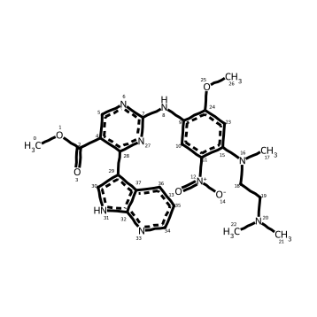 COC(=O)c1cnc(Nc2cc([N+](=O)[O-])c(N(C)CCN(C)C)cc2OC)nc1-c1c[nH]c2ncccc12